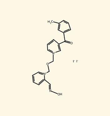 Cc1cccc(C(=O)c2ccc[n+](COC[n+]3ccccc3C=NO)c2)c1.[I-].[I-]